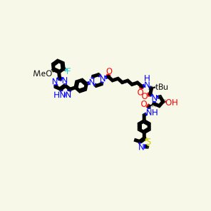 COc1cccc(F)c1-c1ncc2[nH]nc(-c3ccc(N4CCN(C(=O)CCCCCCC(=O)N[C@H](C(=O)N5C[C@H](O)C[C@H]5C(=O)NCc5ccc(-c6scnc6C)cc5)C(C)(C)C)CC4)cc3)c2n1